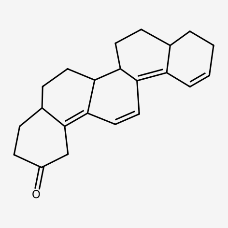 O=C1CCC2CCC3C(=C2C1)C=CC1=C2C=CCCC2CCC13